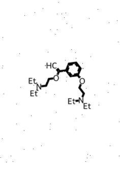 [CH]=C(OCCN(CC)CC)c1cc[c]c(OCCN(CC)CC)c1